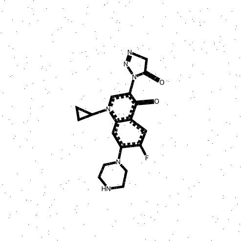 O=C1CN=NN1c1cn(C2CC2)c2cc(N3CCNCC3)c(F)cc2c1=O